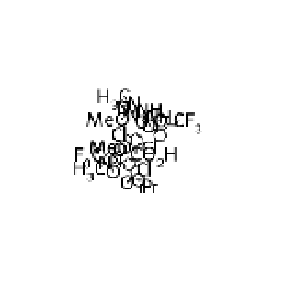 CC(C)OC(=O)c1cc(-n2c(=O)cc(C(F)(F)F)n(C)c2=O)ccc1Cl.COc1c(Cl)ccc(Cl)c1C(=O)O.COc1nc(C)nc(NC(=O)NS(=O)(=O)c2ccccc2CCC(F)(F)F)n1